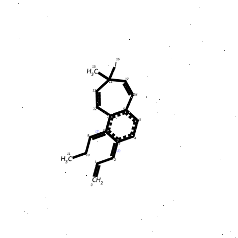 C=C/C=c1/ccc2c(/c1=C/CC)C=CC(C)(I)C=C2